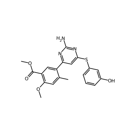 COC(=O)c1cc(-c2cc(Sc3cccc(O)c3)nc(N)n2)c(C)cc1OC